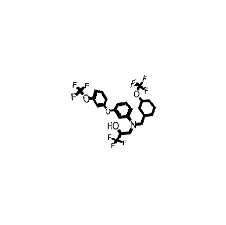 OC(CN(CC1CCCC(OC(F)(F)F)C1)c1cccc(Oc2cccc(OC(F)(F)F)c2)c1)C(F)(F)F